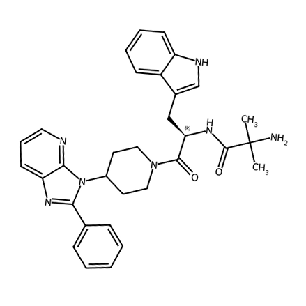 CC(C)(N)C(=O)N[C@H](Cc1c[nH]c2ccccc12)C(=O)N1CCC(n2c(-c3ccccc3)nc3cccnc32)CC1